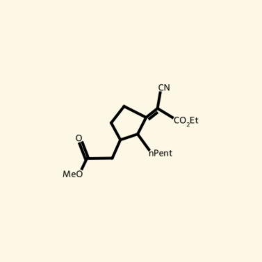 CCCCCC1C(=C(C#N)C(=O)OCC)CCC1CC(=O)OC